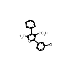 Cc1oc(-c2cccc(Cl)c2)c(C(=O)O)c1-c1ccccc1